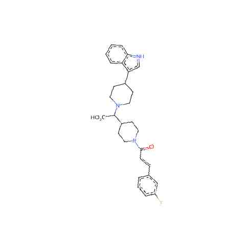 O=C(O)C(C1CCN(C(=O)/C=C/c2cccc(F)c2)CC1)N1CCC(c2c[nH]c3ccccc23)CC1